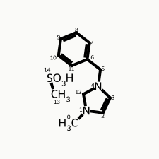 CN1C=CN(Cc2ccccc2)C1.CS(=O)(=O)O